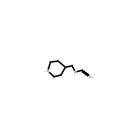 O=COCC1CCOCC1